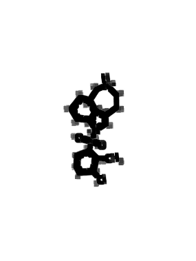 Cc1c(Cl)cccc1S(=O)(=O)n1cc2c3c(cccc31)CNCC2